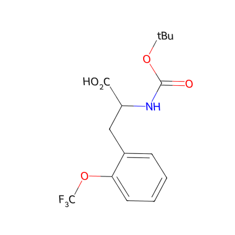 CC(C)(C)OC(=O)NC(Cc1ccccc1OC(F)(F)F)C(=O)O